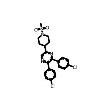 CS(=O)(=O)N1CCC(c2cnc(-c3ccc(Cl)cc3)c(-c3ccc(Cl)cc3)n2)CC1